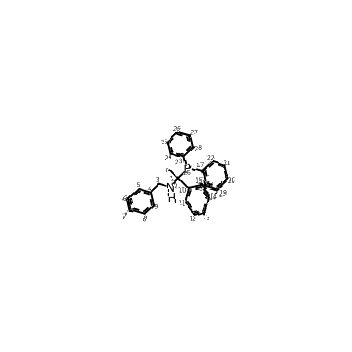 CC(NCc1ccccc1)(c1ccccc1)P(c1ccccc1)c1ccccc1